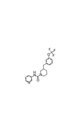 O=C(Nc1cccnc1)N1CCCC(Cc2cccc(OC(F)(F)F)c2)C1